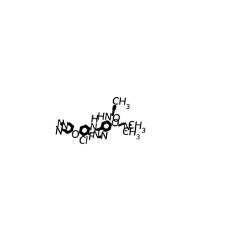 CC#CC(=O)Nc1cc2c(Nc3ccc(Oc4ccn5ncnc5c4)c(Cl)c3F)ncnc2cc1OCCN(C)C